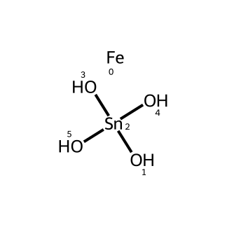 [Fe].[OH][Sn]([OH])([OH])[OH]